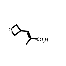 CC(=CC1COC1)C(=O)O